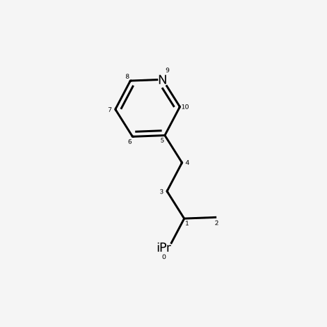 CC(C)C(C)CCc1cccnc1